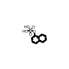 OP(O)(Cl)(Cl)Oc1cccc2ccccc12